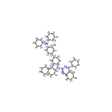 c1ccc(-c2nc(-n3c4ccc(-c5ccc6c(c5)Sc5ccccc5N6c5ccccc5)cc4c4c5ccccc5ccc43)nc3ccccc23)cc1